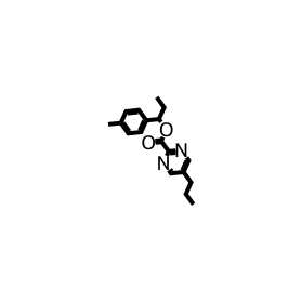 CCCc1cnc(C(=O)OC(CC)c2ccc(C)cc2)nc1